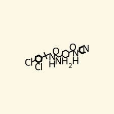 CC(C)(CNC(=O)C(N)C1CCC(C(=O)Nc2ccncc2)CC1)c1ccc(Cl)c(Cl)c1